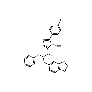 CCCCn1c(C(C)N(Cc2ccccc2)Cc2ccc3c(c2)OCO3)cnc1-c1ccc(F)cc1